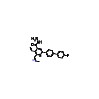 C=Cc1c(C(=O)NN)cc(-c2ccc(-c3ccc(F)cc3)cc2)nc1/C=C\C